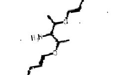 CCC=COC(C)C(N)C(C)OC=CCC